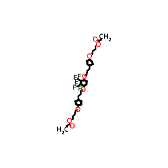 C=CC(=O)OCCCCOc1ccc(CCCOc2ccc(OCCCc3ccc(OCCCCOC(=O)C=C)cc3)c(C(F)(F)F)c2C(F)(F)F)cc1